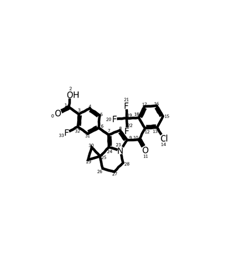 O=C(O)c1ccc(-c2cc(C(=O)c3c(Cl)cccc3C(F)(F)F)n3c2C2(CCC3)CC2)cc1F